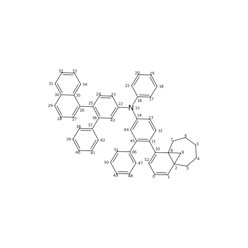 C1=CC23CCCCCC2(C3)C(c2ccc(N(c3ccccc3)c3ccc(-c4cccc5ccccc45)c(-c4ccccc4)c3)cc2-c2ccccc2)=C1